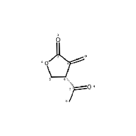 C=C1C(=O)OC[C@H]1C(C)=O